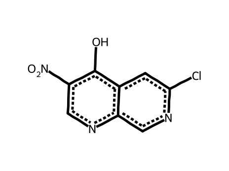 O=[N+]([O-])c1cnc2cnc(Cl)cc2c1O